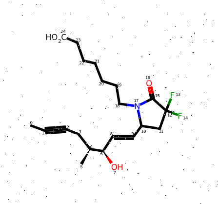 CC#CC[C@H](C)[C@H](O)/C=C/C1CC(F)(F)C(=O)N1CCCCCCC(=O)O